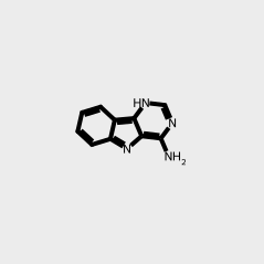 Nc1nc[nH]c2c3ccccc3nc1-2